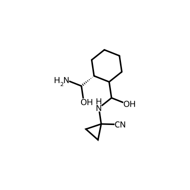 N#CC1(NC(O)C2CCCC[C@H]2C(N)O)CC1